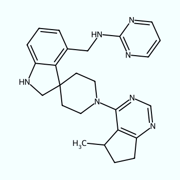 CC1CCc2ncnc(N3CCC4(CC3)CNc3cccc(CNc5ncccn5)c34)c21